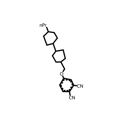 CCCC1CCC(C2CCC(COc3ccc(C#N)c(C#N)c3)CC2)CC1